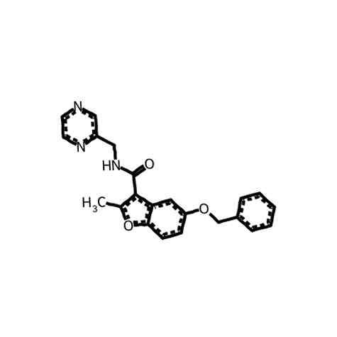 Cc1oc2ccc(OCc3ccccc3)cc2c1C(=O)NCc1cnccn1